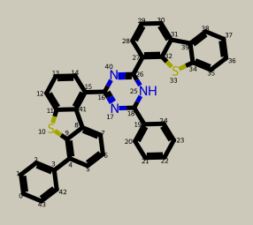 c1ccc(-c2cccc3c2sc2cccc(C4=NC(c5ccccc5)NC(c5cccc6c5sc5ccccc56)=N4)c23)cc1